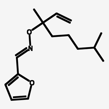 C=CC(C)(CCCC(C)C)ON=Cc1ccco1